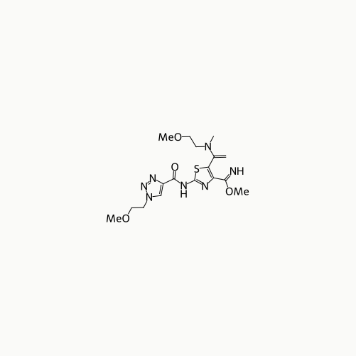 C=C(c1sc(NC(=O)c2cn(CCOC)nn2)nc1C(=N)OC)N(C)CCOC